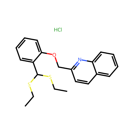 CCSC(SCC)c1ccccc1OCc1ccc2ccccc2n1.Cl